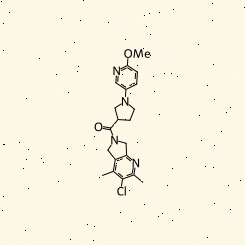 COc1ccc(N2CCC(C(=O)N3Cc4nc(C)c(Cl)c(C)c4C3)C2)cn1